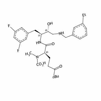 CCCCC(=O)CC[C@H](C(=O)N[C@@H](Cc1cc(F)cc(F)c1)[C@H](O)CNCc1cccc(CC)c1)N(C)C(=O)O